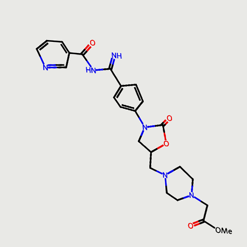 COC(=O)CN1CCN(CC2CN(c3ccc(C(=N)NC(=O)c4cccnc4)cc3)C(=O)O2)CC1